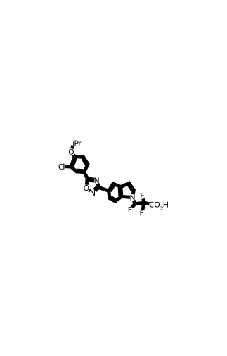 CC(C)Oc1ccc(-c2nc(-c3ccc4c(ccn4C(F)C(F)(F)C(=O)O)c3)no2)cc1Cl